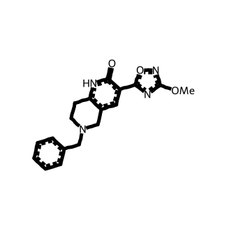 COc1noc(-c2cc3c([nH]c2=O)CCN(Cc2ccccc2)C3)n1